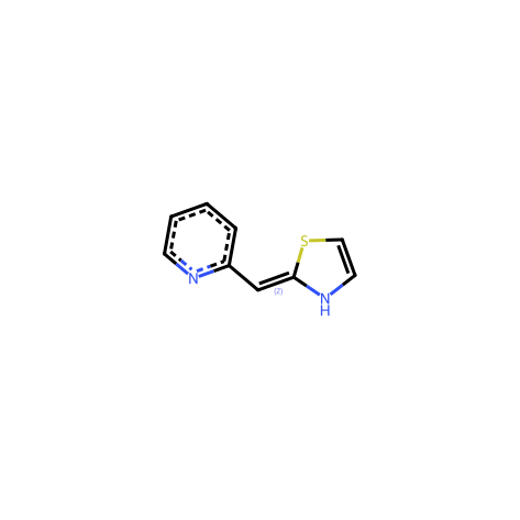 C1=CS/C(=C\c2ccccn2)N1